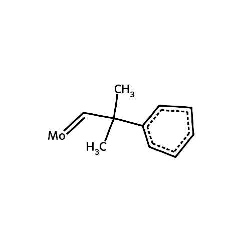 CC(C)([CH]=[Mo])c1ccccc1